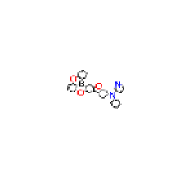 c1ccc(N(c2cccnc2)c2ccc3c(c2)oc2cc4c(cc23)Oc2cccc3c2B4c2ccccc2O3)cc1